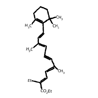 CCOC(=O)C(=CC=C(C)C=CC=C(C)C=CC1=C(C)CCCC1(C)C)CC